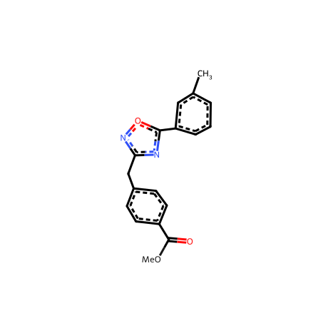 COC(=O)c1ccc(Cc2noc(-c3cccc(C)c3)n2)cc1